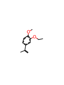 C=C(C)c1ccc(OC)c(OCC)c1